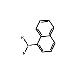 [N]N(S)c1cccc2ccccc12